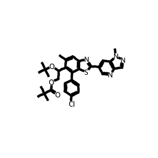 Cc1cc2nc(-c3cnc4cnn(C)c4c3)sc2c(-c2ccc(Cl)cc2)c1C(COC(=O)C(C)(C)C)OC(C)(C)C